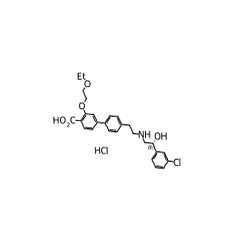 CCOCCOc1cc(-c2ccc(CCNC[C@H](O)c3cccc(Cl)c3)cc2)ccc1C(=O)O.Cl